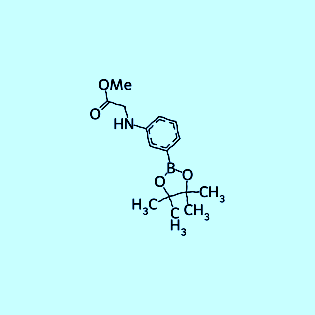 COC(=O)CNc1cccc(B2OC(C)(C)C(C)(C)O2)c1